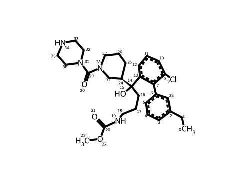 CCc1cccc(-c2c(Cl)cccc2C(O)(CCCNC(=O)OC)[C@@H]2CCCN(C(=O)N3CCNCC3)C2)c1